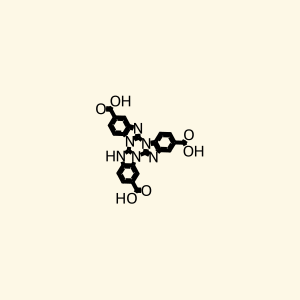 O=C(O)c1ccc2c(c1)N1c3nc4cc(C(=O)O)ccc4n3-c3nc4cc(C(=O)O)ccc4n3C1N2